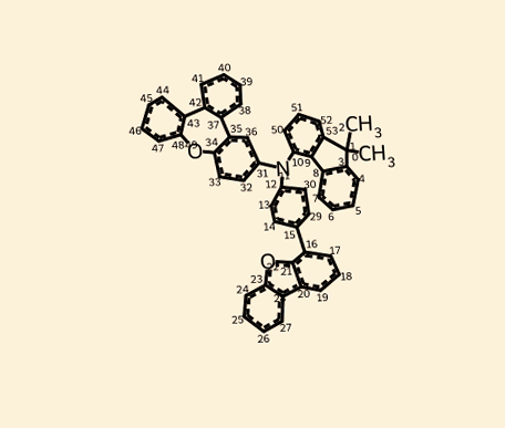 CC1(C)c2ccccc2-c2c(N(c3ccc(-c4cccc5c4oc4ccccc45)cc3)c3ccc4c(c3)-c3ccccc3-c3ccccc3O4)cccc21